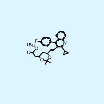 CC(C)(C)OC(=O)CC1CC(C=Cc2c(C3CC3)nc3ccccc3c2-c2ccc(F)cc2)OC(C)(C)O1